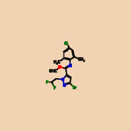 Cc1cc(Cl)cc(C)c1/N=C(\OC=O)c1cc(Br)nn1CC(F)F